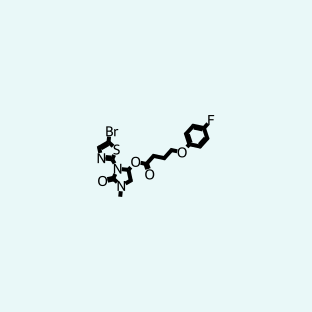 CN1CC(OC(=O)CCCOc2ccc(F)cc2)N(c2ncc(Br)s2)C1=O